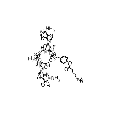 BP1(=O)OC[C@H]2O[C@@H](n3cnc4c(N)ncnc43)[C@H](F)[C@@H]2O[P@@](=O)(SCc2ccc(OC(=O)CCCN=[N+]=[N-])cc2)OC[C@H]2O[C@@H](n3cnc4c(=O)[nH]c(N)nc43)[C@H](F)[C@@H]2O1